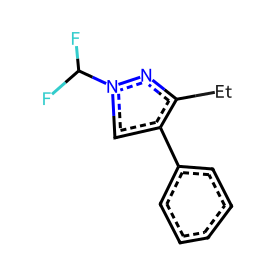 CCc1nn(C(F)F)cc1-c1ccccc1